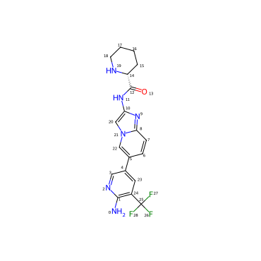 Nc1ncc(-c2ccc3nc(NC(=O)[C@H]4CCCCN4)cn3c2)cc1C(F)(F)F